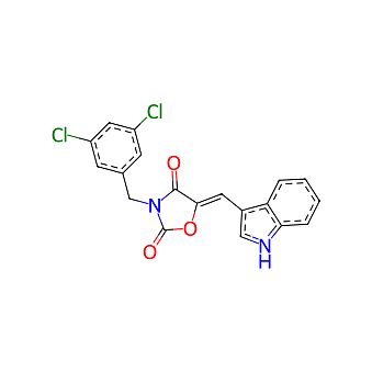 O=C1OC(=Cc2c[nH]c3ccccc23)C(=O)N1Cc1cc(Cl)cc(Cl)c1